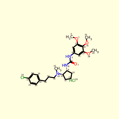 COc1cc(NC(=O)N[C@@H]2CCC[C@H]2N(C)CCCc2ccc(Cl)cc2)cc(OC)c1OC.Cl